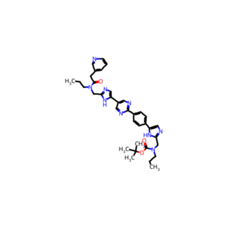 CCCN(Cc1ncc(-c2cnc(-c3ccc(-c4cnc(CN(CCC)C(=O)OC(C)(C)C)[nH]4)cc3)nc2)[nH]1)C(=O)Cc1cccnc1